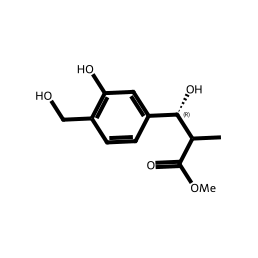 COC(=O)C(C)[C@@H](O)c1ccc(CO)c(O)c1